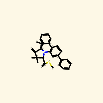 C=C(SC)C1N(c2cc(-c3ccccc3)ccc2-c2ccccc2)/C(=C/C)C(=C)C1(C)C